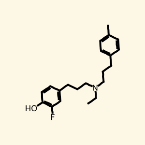 CCN(CCCc1ccc(C)cc1)CCCc1ccc(O)c(F)c1